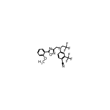 COc1ccccc1-c1nc(CN(CC(F)(F)F)c2ccc(C#N)c(C(F)(F)F)c2)no1